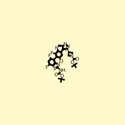 CC(C)(C)OC(=O)Nc1nc2c(-c3c(Cl)cc4c(ncc5nnn(C6CN(C(=O)OC(C)(C)C)C6)c54)c3F)c(F)cc(F)c2s1